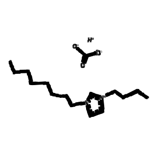 CCCCCCCCn1cc[n+](CCCC)c1.O=C([O-])[O-].[H+]